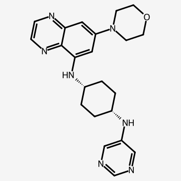 c1ncc(N[C@H]2CC[C@@H](Nc3cc(N4CCOCC4)cc4nccnc34)CC2)cn1